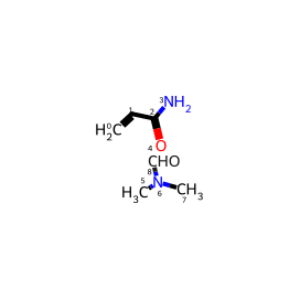 C=CC(N)=O.CN(C)C=O